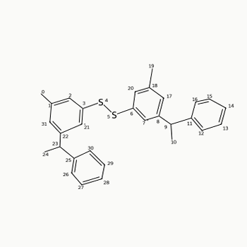 Cc1cc(SSc2[c]c(C(C)c3ccccc3)cc(C)c2)[c]c(C(C)c2ccccc2)c1